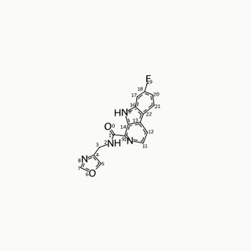 O=C(NCc1cocn1)c1nccc2c1[nH]c1cc(F)ccc12